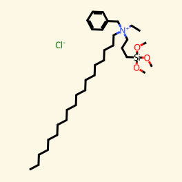 CCCCCCCCCCCCCCCCCCC[N+](CC)(CCC[Si](OC)(OC)OC)Cc1ccccc1.[Cl-]